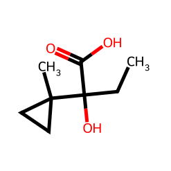 CCC(O)(C(=O)O)C1(C)CC1